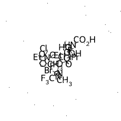 CC(C)OC(=O)c1cc(-c2nn(C)c(C(F)(F)F)c2Br)c(F)cc1Cl.CCOCN(C(=O)CCl)c1c(C)cccc1CC.O=C(O)CNCP(=O)(O)O